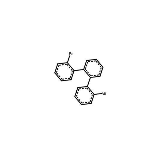 Brc1ccccc1-c1ccccc1-c1ccccc1Br